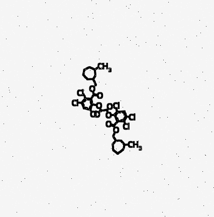 CC1CCCCC(COC(=O)c2c(Cl)c(Cl)cc(Cl)c2OC(=O)C(=O)Oc2c(Cl)cc(Cl)c(Cl)c2C(=O)OCC2CCCCC(C)C2)C1